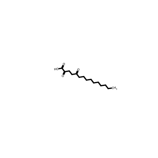 CCCCCCCCCCC(=O)CCC(=O)C(=O)O